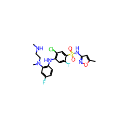 CNCCN(C)c1cc(F)ccc1Nc1cc(F)c(S(=O)(=O)Nc2cc(C)on2)cc1Cl